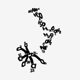 O.O.O.O.O.O.[Cl][Pt-2]([Cl])([Cl])([Cl])([Cl])[Cl].[Na+].[Na+]